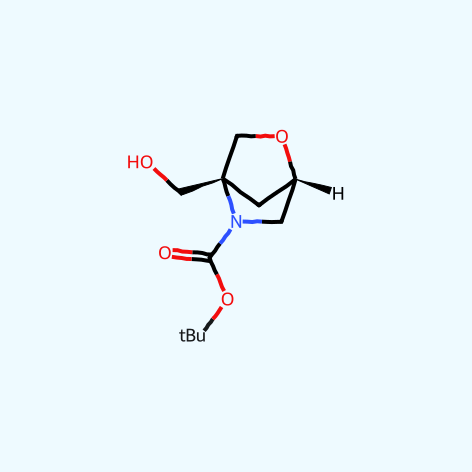 CC(C)(C)OC(=O)N1C[C@@H]2C[C@@]1(CO)CO2